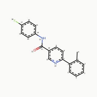 Cc1ccccc1-c1ccc(C(=O)Nc2ccc(F)cc2)cn1